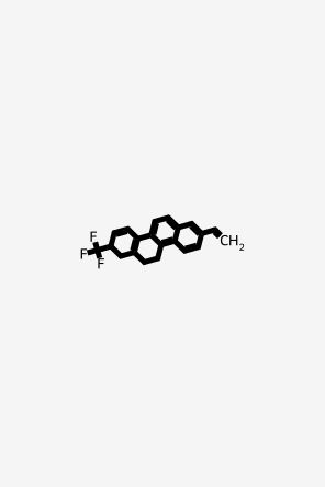 C=Cc1ccc2c3c(ccc2c1)C1=C(CC3)CC(C(F)(F)F)C=C1